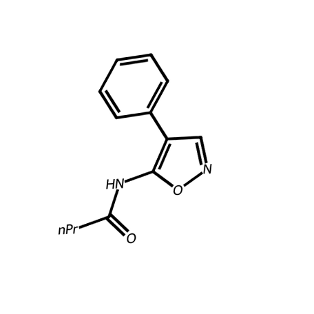 CCCC(=O)Nc1oncc1-c1ccccc1